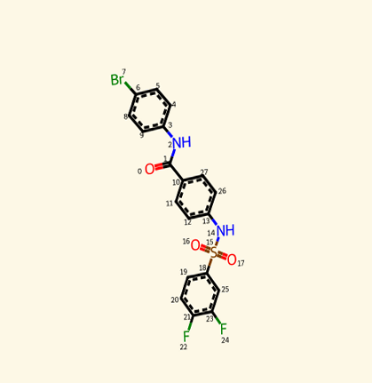 O=C(Nc1ccc(Br)cc1)c1ccc(NS(=O)(=O)c2ccc(F)c(F)c2)cc1